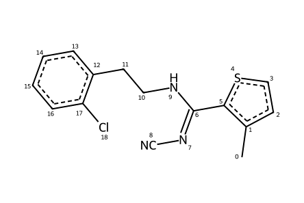 Cc1ccsc1C(=NC#N)NCCc1ccccc1Cl